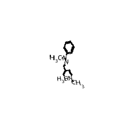 C/C=C(\C=C/NC)/C=N/N(C)c1ccccc1